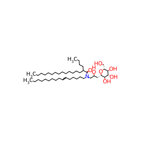 CCCCCCCCCC=CCCCCCN(CC(O)C[C@@H]1O[C@H](CO)[C@@H](O)[C@H](O)[C@H]1O)C(=O)C(CCCC)CCCCCCCCCCCCCC